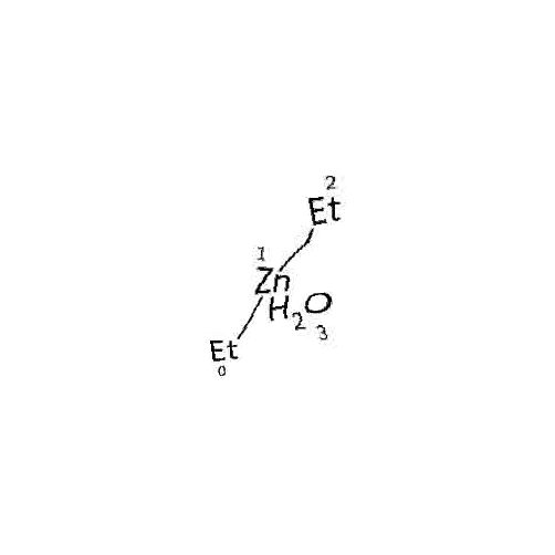 C[CH2][Zn][CH2]C.O